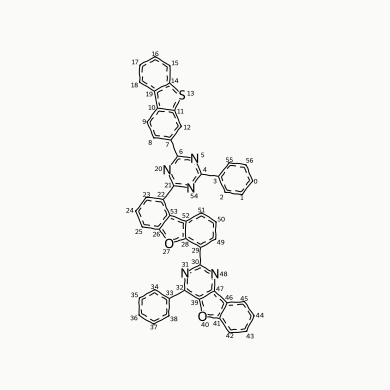 c1ccc(-c2nc(-c3ccc4c(c3)sc3ccccc34)nc(-c3cccc4oc5c(-c6nc(-c7ccccc7)c7oc8ccccc8c7n6)cccc5c34)n2)cc1